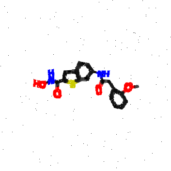 COc1ccccc1CC(=O)Nc1ccc2cc(C(=O)NO)sc2c1